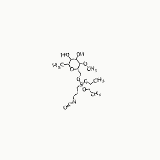 CCO[Si](CCCN=C=O)(OCC)OCC1OC(C)C(O)C(O)C1OC